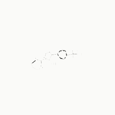 C[C@H]1C(c2ccc(C(C)(C)C)cc2)CCN1C1N=CCCN1.Cl